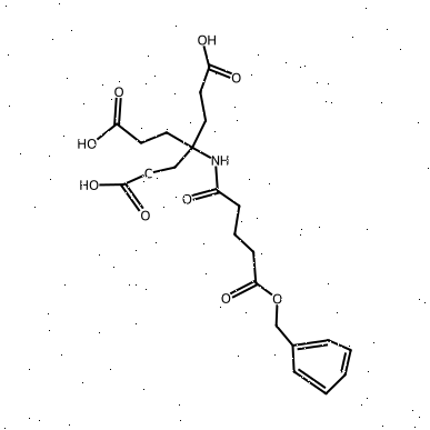 O=C(O)CCC(CCC(=O)O)(CCC(=O)O)NC(=O)CCCC(=O)OCc1ccccc1